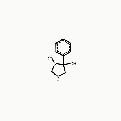 CN1CNCC1(O)c1ccccc1